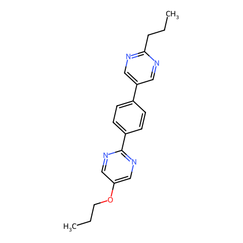 CCCOc1cnc(-c2ccc(-c3cnc(CCC)nc3)cc2)nc1